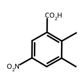 Cc1cc([N+](=O)[O-])cc(C(=O)O)c1C